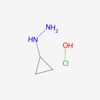 NNC1CC1.OCl